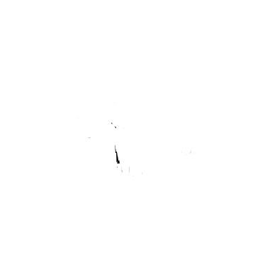 CC(C)(C)OC(=O)N1C2CCC1[C@H](N)C2